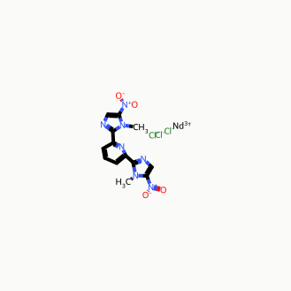 Cn1c([N+](=O)[O-])cnc1-c1cccc(-c2ncc([N+](=O)[O-])n2C)n1.[Cl-].[Cl-].[Cl-].[Nd+3]